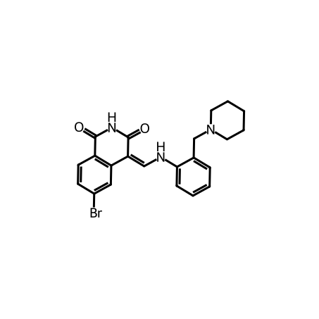 O=C1NC(=O)c2ccc(Br)cc2/C1=C/Nc1ccccc1CN1CCCCC1